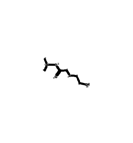 CN(C)OC(=O)COCCO